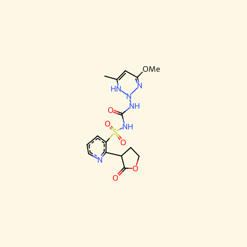 COC1=NN(NC(=O)NS(=O)(=O)c2cccnc2C2CCOC2=O)NC(C)=C1